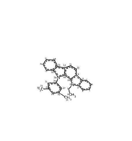 CCn1c2ccccc2c2ccc3c4ccccc4n(-c4cc(C)cc(C)c4)c3c21